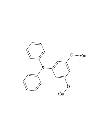 CC(C)(C)Oc1cc(OC(C)(C)C)cc([S+](c2ccccc2)c2ccccc2)c1